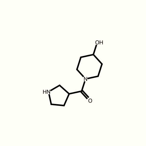 O=C(C1CCNC1)N1CCC(O)CC1